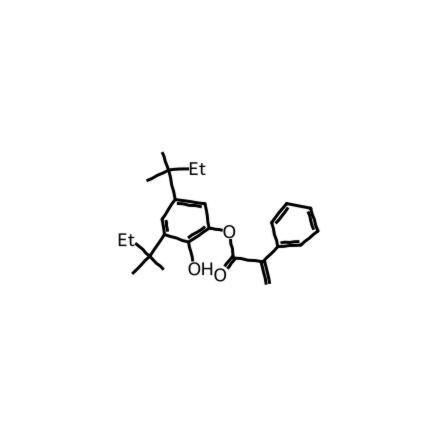 C=C(C(=O)Oc1cc(C(C)(C)CC)cc(C(C)(C)CC)c1O)c1ccccc1